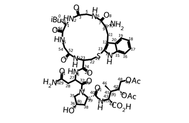 CC[C@H](C)[C@@H]1NC(=O)CNC(=O)[C@H](N)Cc2c([nH]c3ccccc23)SCC(C(=O)NC(CC(N)=O)C(=O)N2C[C@H](O)C[C@H]2C(=O)N[C@H](C(=O)O)[C@@H](C)[C@H](COC(C)=O)OC(C)=O)NC(=O)CNC1=O